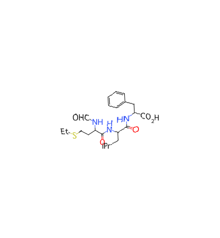 CCSCCC(NC=O)C(=O)NC(CC(C)C)C(=O)NC(Cc1ccccc1)C(=O)O